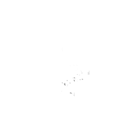 CCCCCCCCCCCc1nc(C(C)C#N)c[nH]1.O=C([O-])c1ccc(C(=O)[O-])c(C(=O)[O-])c1.[Li+].[Li+].[Li+]